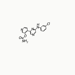 NC(=O)Oc1cnccc1-c1cncc(Nc2cccc(Cl)c2)n1